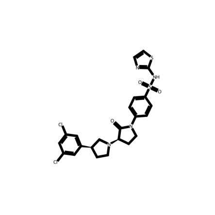 O=C1[C@H](N2CC[C@@H](c3cc(Cl)cc(Cl)c3)C2)CCN1c1ccc(S(=O)(=O)Nc2nccs2)cc1